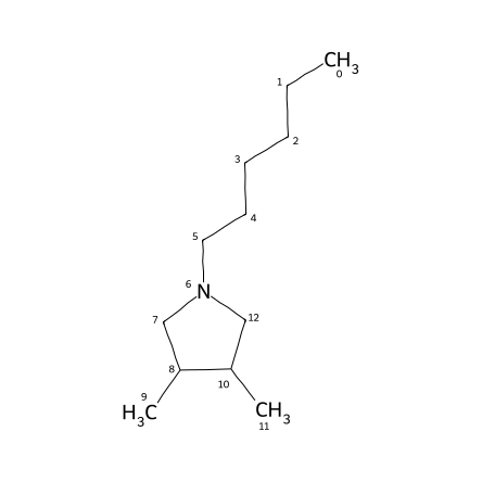 CCCCCCN1CC(C)C(C)C1